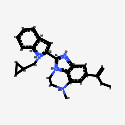 C=C(CC)c1cc2c3c(c1)nc(-c1cc4ccccc4n1CC1CC1)n3CCN2C